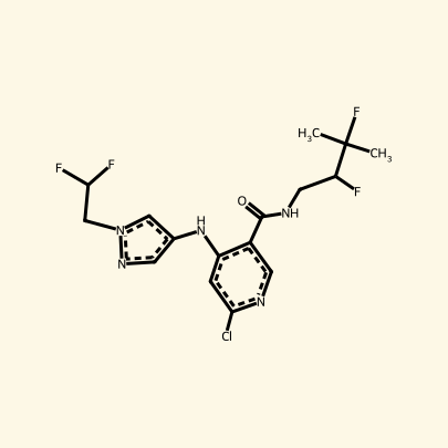 CC(C)(F)C(F)CNC(=O)c1cnc(Cl)cc1Nc1cnn(CC(F)F)c1